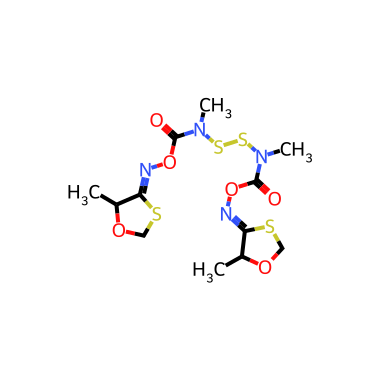 CC1OCSC1=NOC(=O)N(C)SSN(C)C(=O)ON=C1SCOC1C